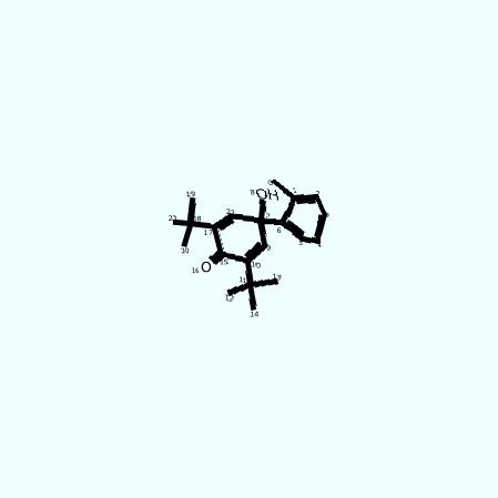 Cc1ccccc1C1(O)C=C(C(C)(C)C)C(=O)C(C(C)(C)C)=C1